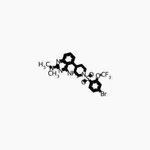 CN(C)c1nc(N)c2c(C3CCN(S(=O)(=O)c4ccc(Br)cc4OC(F)(F)F)CC3)cccc2n1